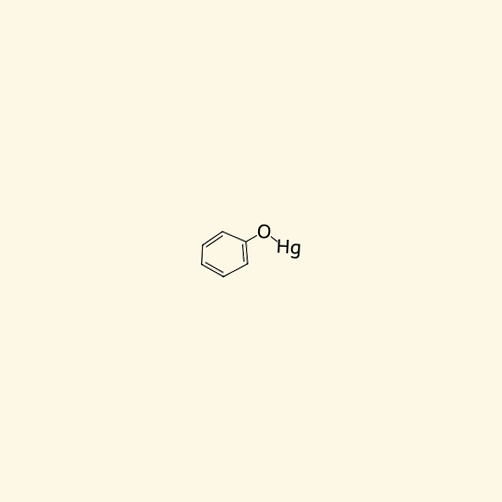 [Hg][O]c1ccccc1